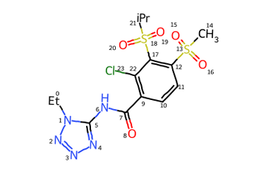 CCn1nnnc1NC(=O)c1ccc(S(C)(=O)=O)c(S(=O)(=O)C(C)C)c1Cl